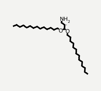 CCCCCCCCCCCCCCOC([CH]CN)OCCCCCCCCCCCCCC